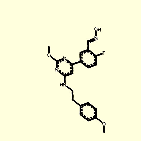 COc1ccc(CCNc2cc(-c3ccc(F)c(/C=N/O)c3)nc(OC)n2)cc1